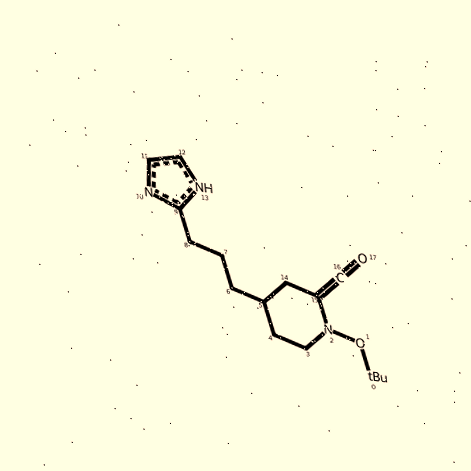 CC(C)(C)ON1CCC(CCCc2ncc[nH]2)CC1=C=O